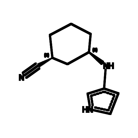 N#C[C@@H]1CCC[C@@H](Nc2cc[nH]c2)C1